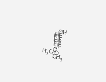 CC=C(C)C(=O)OCC(F)(F)C(F)(F)C(F)(F)C(F)(F)C(F)(F)C(F)(F)CO